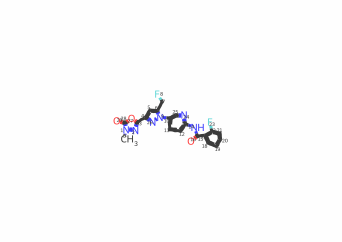 Cn1nc(-c2cc(CF)n(-c3ccc(NC(=O)c4ccccc4F)nc3)n2)oc1=O